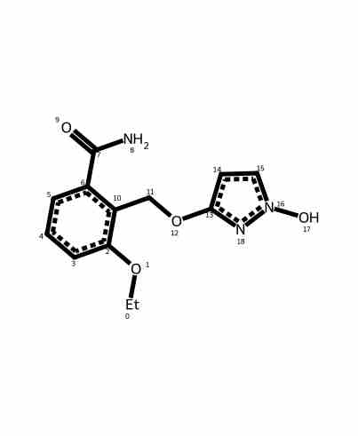 CCOc1cccc(C(N)=O)c1COc1ccn(O)n1